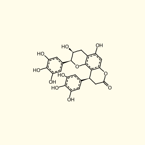 O=C1C[C@@H](c2cc(O)c(O)c(O)c2)c2c(cc(O)c3c2O[C@@H](c2cc(O)c(O)c(O)c2)[C@@H](O)C3)O1